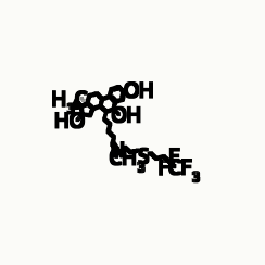 CN(CCCCC[C@H]1C2C(CC[C@@]3(C)C2C[C@@H](O)C32CC2)c2ccc(O)cc2[C@H]1O)CCCSCCCC(F)(F)C(F)(F)F